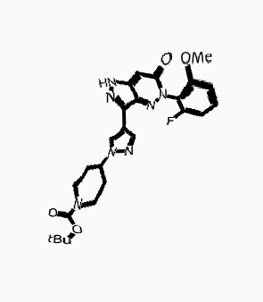 COc1cccc(F)c1-n1nc2c(-c3cnn(C4CCN(C(=O)OC(C)(C)C)CC4)c3)n[nH]c2cc1=O